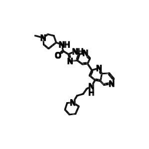 CN1CCC(NC(=O)c2nc3cc(-c4cc(NCCCN5CCCCC5)c5cnccc5n4)cnc3[nH]2)CC1